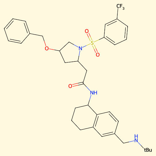 CC(C)(C)NCc1ccc2c(c1)CCCC2NC(=O)CC1CC(OCc2ccccc2)CN1S(=O)(=O)c1cccc(C(F)(F)F)c1